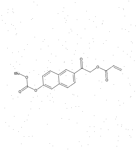 C=CC(=O)OCC(=O)c1ccc2cc(OC(=O)OC(C)(C)C)ccc2c1